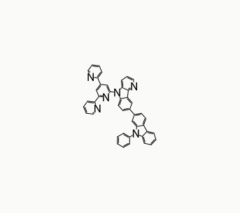 c1ccc(-n2c3ccccc3c3ccc(-c4ccc5c(c4)c4ncccc4n5-c4cc(-c5ccccn5)cc(-c5ccccn5)n4)cc32)cc1